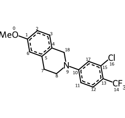 COc1ccc2c(c1)CCN(c1ccc(C(F)(F)F)c(Cl)c1)C2